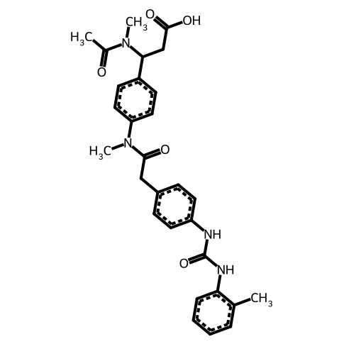 CC(=O)N(C)C(CC(=O)O)c1ccc(N(C)C(=O)Cc2ccc(NC(=O)Nc3ccccc3C)cc2)cc1